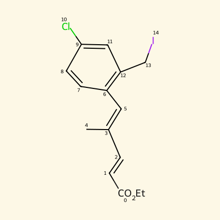 CCOC(=O)/C=C/C(C)=C/c1ccc(Cl)cc1CI